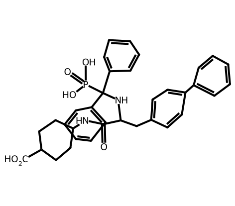 O=C(O)C1CCC(NC(=O)C(Cc2ccc(-c3ccccc3)cc2)NC(c2ccccc2)(c2ccccc2)P(=O)(O)O)CC1